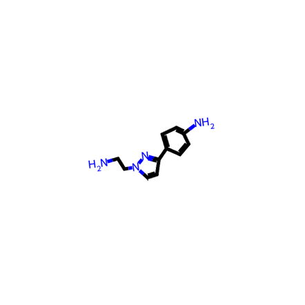 NCCn1[c]cc(-c2ccc(N)cc2)n1